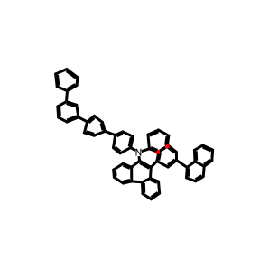 c1ccc(-c2cccc(-c3ccc(-c4ccc(N(c5ccccc5)c5c(-c6cccc(-c7cccc8ccccc78)c6)c6ccccc6c6ccccc56)cc4)cc3)c2)cc1